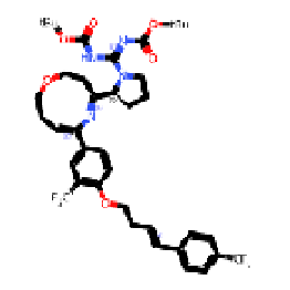 CC(C)(C)OC(=O)/N=C(/NC(=O)OC(C)(C)C)N1CCC[C@H]1/C1=N/C(c2ccc(OCC/C=C/c3ccc(C(F)(F)F)cc3)c(C(F)(F)F)c2)=C\CCOCC1